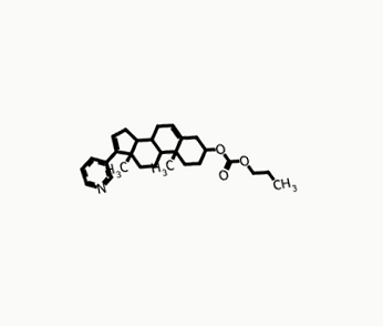 CCCOC(=O)OC1CCC2(C)C(=CCC3C2CCC2(C)C(c4cccnc4)=CCC32)C1